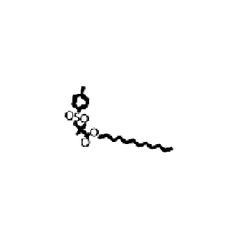 CCCCCCCCCCCCOC(=O)C(C)(C)CS(=O)(=O)c1ccc(C)cc1